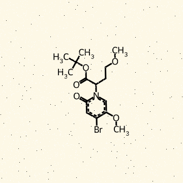 COCCC(C(=O)OC(C)(C)C)n1cc(OC)c(Br)cc1=O